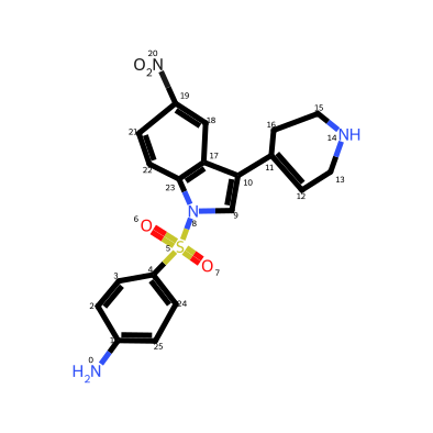 Nc1ccc(S(=O)(=O)n2cc(C3=CCNCC3)c3cc([N+](=O)[O-])ccc32)cc1